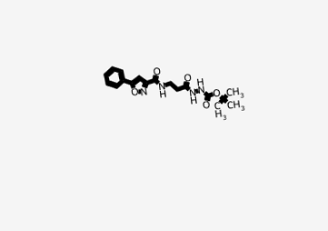 CC(C)(C)OC(=O)NNC(=O)CCNC(=O)c1cc(-c2ccccc2)on1